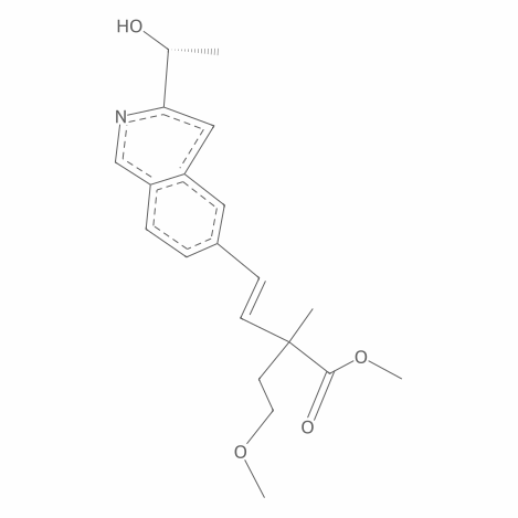 COCCC(C)(/C=C/c1ccc2cnc([C@@H](C)O)cc2c1)C(=O)OC